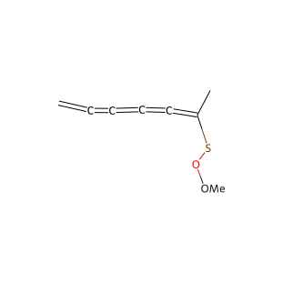 C=C=C=C=C=C(C)SOOC